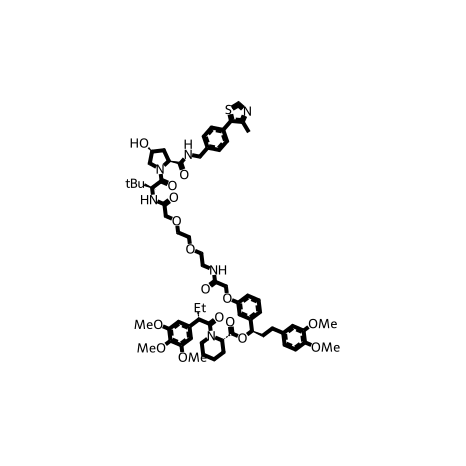 CC[C@H](C(=O)N1CCCC[C@H]1C(=O)O[C@H](CCc1ccc(OC)c(OC)c1)c1cccc(OCC(=O)NCCOCCOCC(=O)N[C@H](C(=O)N2C[C@H](O)C[C@H]2C(=O)NCc2ccc(-c3scnc3C)cc2)C(C)(C)C)c1)c1cc(OC)c(OC)c(OC)c1